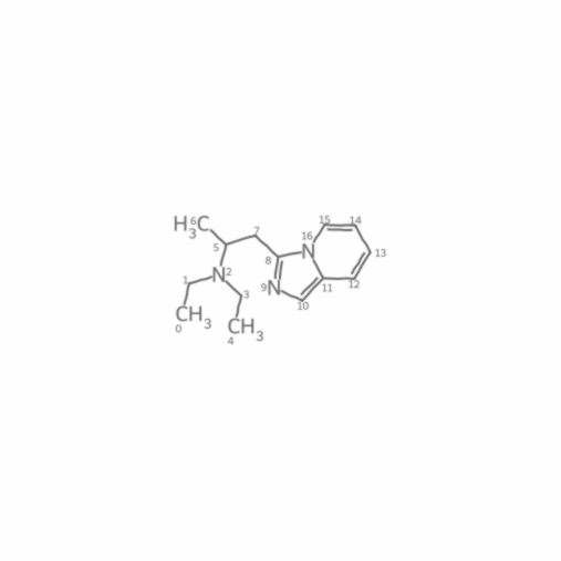 CCN(CC)C(C)Cc1ncc2ccccn12